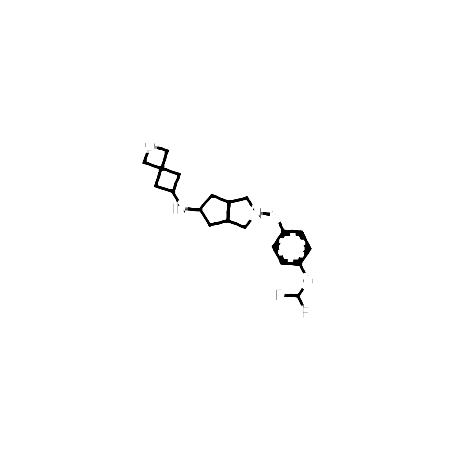 FC(F)Oc1ccc(SN2CC3CC(NC4CC5(COC5)C4)CC3C2)cc1